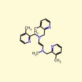 Cc1cccnc1CN(C)C=CN(Cc1ncccc1C)Cc1ncccc1C